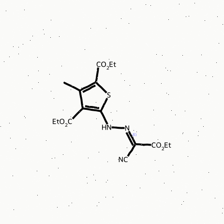 CCOC(=O)/C(C#N)=N/Nc1sc(C(=O)OCC)c(C)c1C(=O)OCC